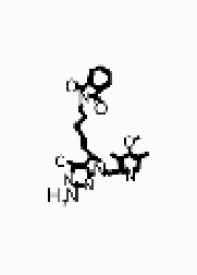 COc1c(C)cnc(Cn2cc(C#CCCCN3C(=O)c4ccccc4C3=O)c3c(Cl)nc(N)nc32)c1C